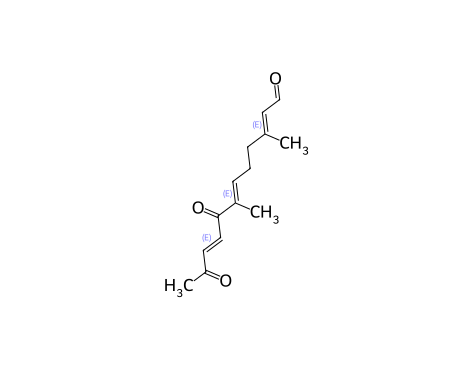 CC(=O)/C=C/C(=O)/C(C)=C/CC/C(C)=C/C=O